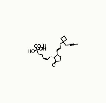 CC#CCC1(C/C=C/[C@H]2CCC(=O)[C@@H]2C/C=C\CCC(O)(O)C(=O)O)CCC1